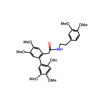 COc1ccc(CCNC(=O)Cc2cc(OC)c(OC)cc2-c2cc(OC)c(OC)cc2OC(C)=O)cc1OC